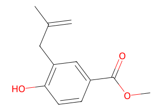 C=C(C)Cc1cc(C(=O)OC)ccc1O